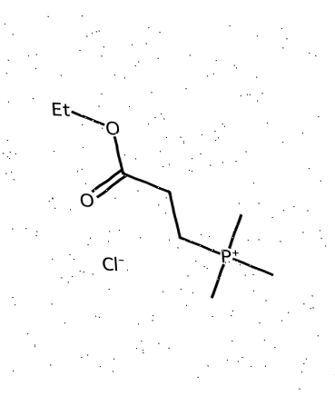 CCOC(=O)CC[P+](C)(C)C.[Cl-]